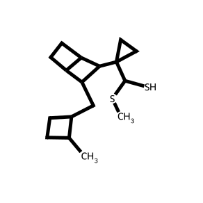 CSC(S)C1(C2C3CCC3C2CC2CCC2C)CC1